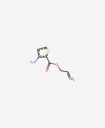 C=CCOC(=O)c1sccc1N